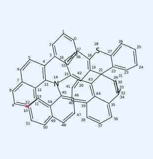 c1ccc(-c2ccc3ccccc3c2N(c2ccc3c(c2)C2(c4ccccc4S3)c3ccccc3-c3cccc4cccc2c34)c2cccc3ccccc23)cc1